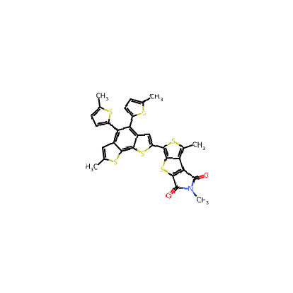 Cc1ccc(-c2c(-c3ccc(C)s3)c3cc(-c4sc(C)c5c6c(sc45)C(=O)N(C)C6=O)sc3c3sc(C)cc23)s1